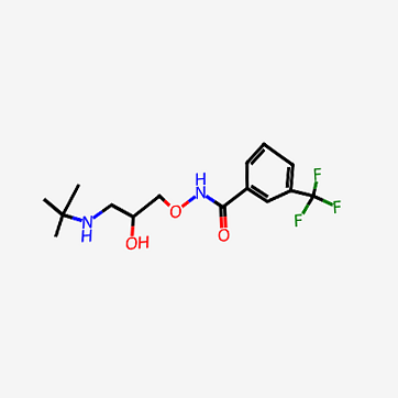 CC(C)(C)NCC(O)CONC(=O)c1cccc(C(F)(F)F)c1